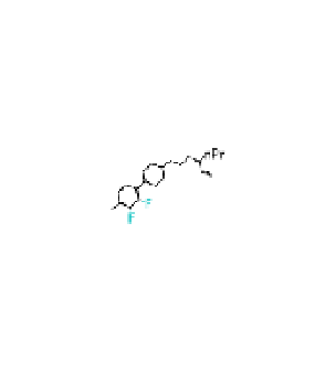 C=CC(CCC)CCCC1CCC(C2CCC(C)C(F)C2F)CC1